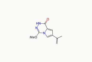 C=C(C)c1cc2c(=O)[nH]nc(OC)n2c1